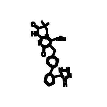 CCCCc1c(Cc2ccc(-c3ccccc3-c3nnn[nH]3)cc2)c(=O)nc2n1CC(C)(C)C(=O)N2